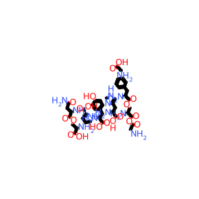 NC(=O)C[C@H](N)C(=O)OC[C@H](N)C(=O)O.NCC(=O)O.NCC(=O)OC(=O)[C@@H](N)COC(=O)[C@@H](N)Cc1ccccc1.N[C@@H](Cc1c[nH]cn1)C(=O)O.N[C@@H](Cc1ccc(O)cc1)C(=O)O.O=C(O)[C@@H]1CCCN1